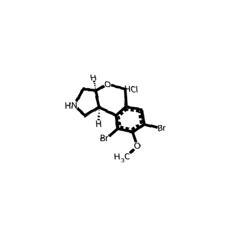 COc1c(Br)cc2c(c1Br)[C@H]1CNC[C@H]1OC2.Cl